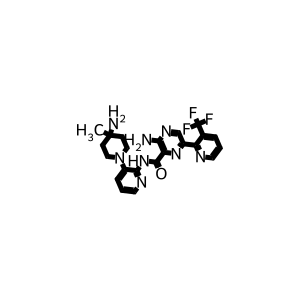 CC1(N)CCN(c2cccnc2NC(=O)c2nc(-c3ncccc3C(F)(F)F)cnc2N)CC1